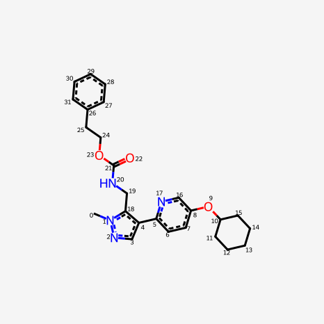 Cn1ncc(-c2ccc(OC3CCCCC3)cn2)c1CNC(=O)OCCc1ccccc1